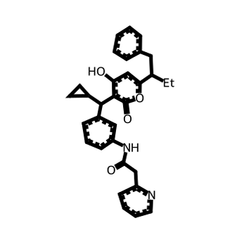 CCC(Cc1ccccc1)c1cc(O)c(C(c2cccc(NC(=O)Cc3ccccn3)c2)C2CC2)c(=O)o1